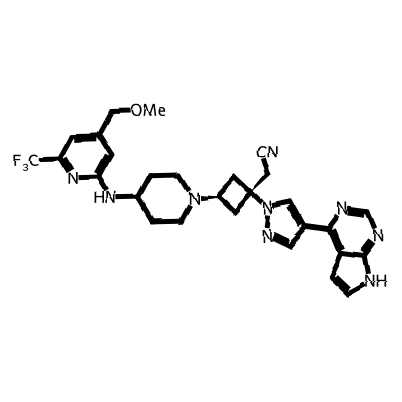 COCc1cc(NC2CCN([C@H]3C[C@](CC#N)(n4cc(-c5ncnc6[nH]ccc56)cn4)C3)CC2)nc(C(F)(F)F)c1